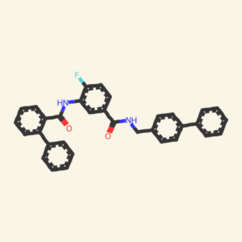 O=C(NCc1ccc(-c2ccccc2)cc1)c1ccc(F)c(NC(=O)c2ccccc2-c2ccccc2)c1